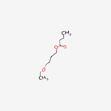 CCCC(=O)OCCCCOCC